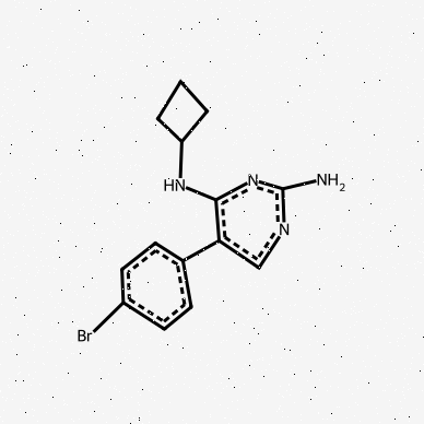 Nc1ncc(-c2ccc(Br)cc2)c(NC2CCC2)n1